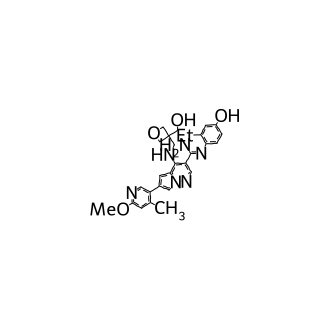 CCc1cc(O)ccc1/N=C(\N)c1cnn2cc(-c3cnc(OC)cc3C)cc2c1NCC1(CO)COC1